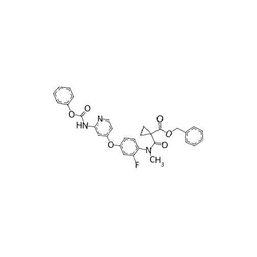 CN(C(=O)C1(C(=O)OCc2ccccc2)CC1)c1ccc(Oc2ccnc(NC(=O)Oc3ccccc3)c2)cc1F